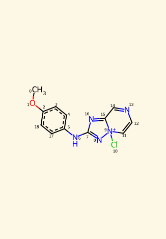 COc1ccc(NC2=N[N+]3(Cl)C=CN=CC3=N2)cc1